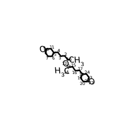 CC(CCCC1CCC2OC2C1)OC(C)CCCC1CCC2OC2C1